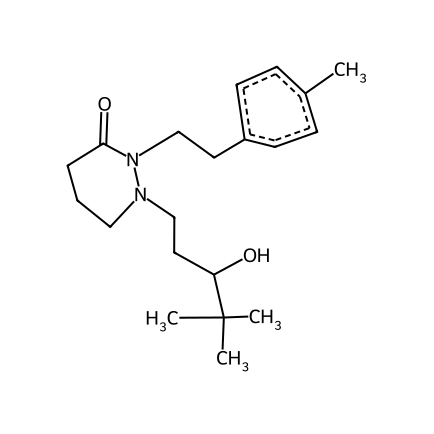 Cc1ccc(CCN2C(=O)CCCN2CCC(O)C(C)(C)C)cc1